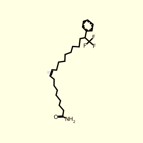 NC(=O)CCCCCCC/C=C\CCCCCCCCC(c1ccccc1)C(F)(F)F